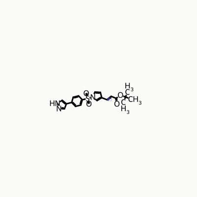 CC(C)(C)OC(=O)/C=C/c1ccn(S(=O)(=O)c2ccc(-c3cn[nH]c3)cc2)c1